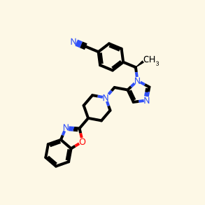 C[C@H](c1ccc(C#N)cc1)n1cncc1CN1CCC(c2nc3ccccc3o2)CC1